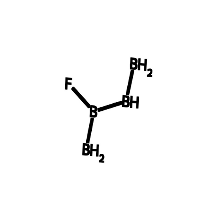 BBB(B)F